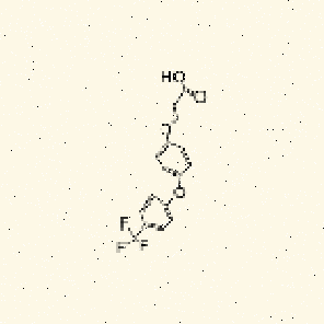 O=C(O)CCOc1ccc(Oc2ccc(C(F)(F)F)cc2)cc1